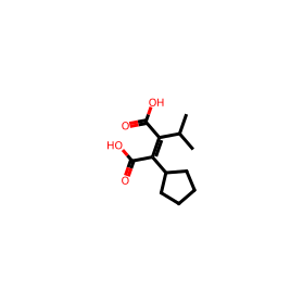 CC(C)/C(C(=O)O)=C(/C(=O)O)C1CCCC1